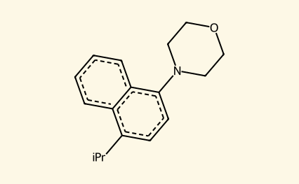 CC(C)c1ccc(N2CCOCC2)c2ccccc12